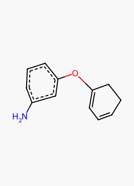 Nc1cccc(OC2=CC=CCC2)c1